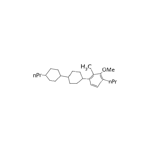 CCCc1ccc(C2CCC(C3CCC(CCC)CC3)CC2)c(C)c1OC